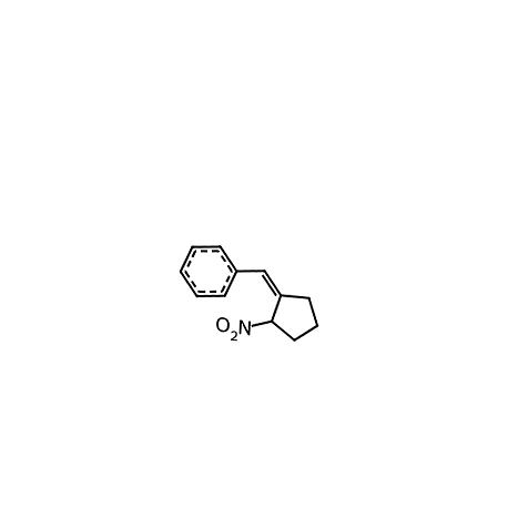 O=[N+]([O-])C1CCCC1=Cc1ccccc1